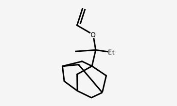 C=COC(C)(CC)C12CC3CC(CC(C3)C1)C2